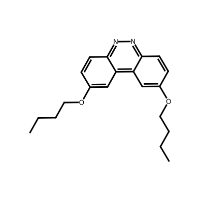 CCCCOc1ccc2nnc3ccc(OCCCC)cc3c2c1